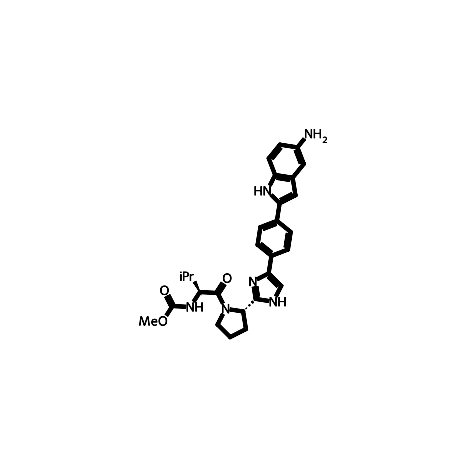 COC(=O)N[C@H](C(=O)N1CCC[C@H]1c1nc(-c2ccc(-c3cc4cc(N)ccc4[nH]3)cc2)c[nH]1)C(C)C